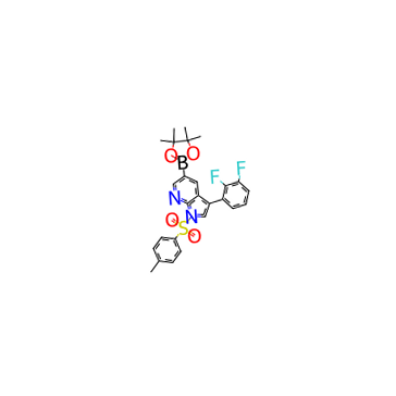 Cc1ccc(S(=O)(=O)n2cc(-c3cccc(F)c3F)c3cc(B4OC(C)(C)C(C)(C)O4)cnc32)cc1